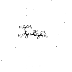 C=C(C)C(=O)OCC(O)COC(=O)C(C)CSC(C)C